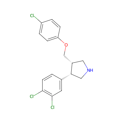 Clc1ccc(OC[C@@H]2CNC[C@@H]2c2ccc(Cl)c(Cl)c2)cc1